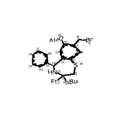 CCCC[C@]1(CC)CSc2cc(CBr)c(OC)cc2[C@H](c2ccccc2)N1